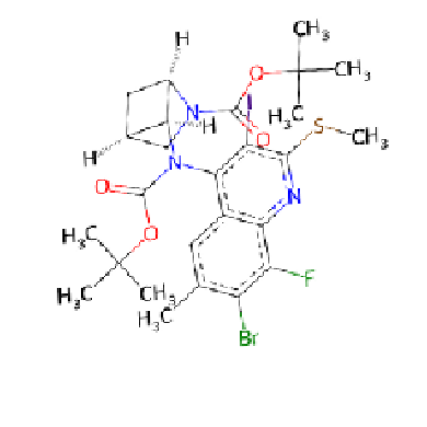 CSc1nc2c(F)c(Br)c(C)cc2c(N(C(=O)OC(C)(C)C)[C@H]2[C@@H]3C[C@H]2N(C(=O)OC(C)(C)C)C3)c1I